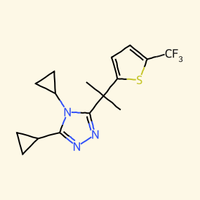 CC(C)(c1ccc(C(F)(F)F)s1)c1nnc(C2CC2)n1C1CC1